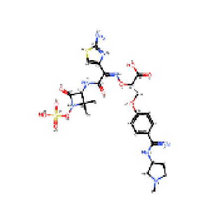 CN1CC[C@H](NC(=N)c2ccc(OC[C@H](O/N=C(\C(=O)N[C@@H]3C(=O)N(OS(=O)(=O)O)C3(C)C)c3csc(N)n3)C(=O)O)cc2)C1